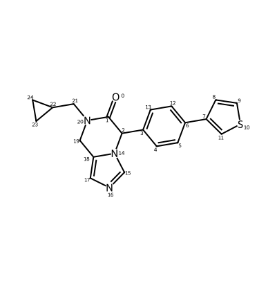 O=C1C(c2ccc(-c3ccsc3)cc2)n2cncc2CN1CC1CC1